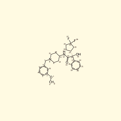 COc1cccc(CN2CCC(NC(=O)C(O)(c3ccccc3)[C@@H]3CCC(F)(F)C3)CC2)c1